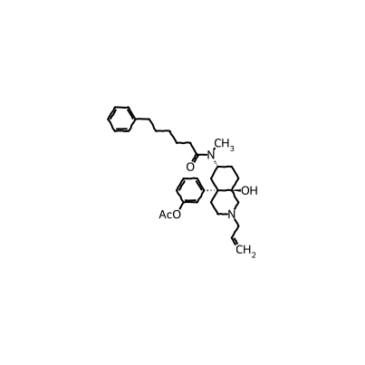 C=CCN1CC[C@@]2(c3cccc(OC(C)=O)c3)C[C@H](N(C)C(=O)CCCCCc3ccccc3)CC[C@]2(O)C1